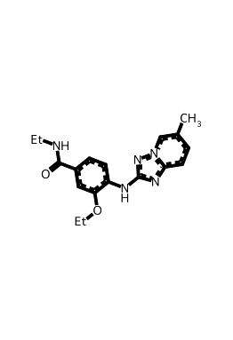 CCNC(=O)c1ccc(Nc2nc3ccc(C)cn3n2)c(OCC)c1